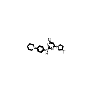 F[C@@H]1CCN(c2cc(Cl)nc(Nc3ccc(N4CCCCC4)cc3)n2)C1